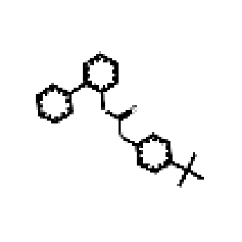 CC(C)(C)c1ccc(OC(=O)Oc2ccccc2-c2ccccc2)cc1